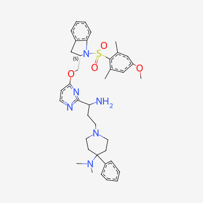 COc1cc(C)c(S(=O)(=O)N2c3ccccc3C[C@H]2COc2ccnc(C(N)CCN3CCC(c4ccccc4)(N(C)C)CC3)n2)c(C)c1